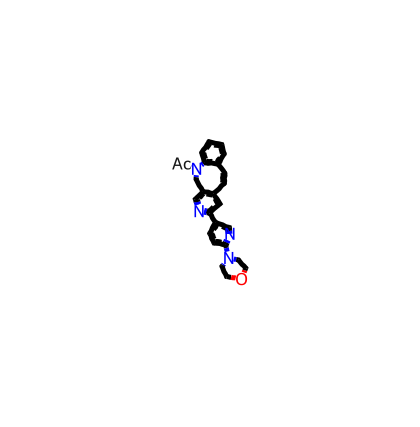 CC(=O)N1Cc2cnc(-c3ccc(N4CCOCC4)nc3)cc2C=Cc2ccccc21